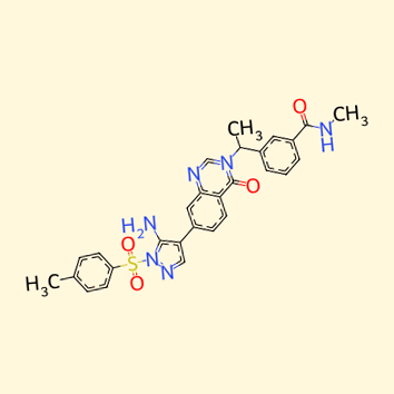 CNC(=O)c1cccc(C(C)n2cnc3cc(-c4cnn(S(=O)(=O)c5ccc(C)cc5)c4N)ccc3c2=O)c1